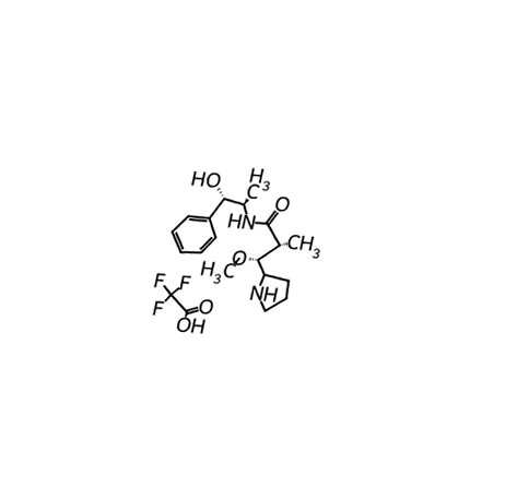 CO[C@@H](C1CCCN1)[C@@H](C)C(=O)N[C@H](C)[C@@H](O)c1ccccc1.O=C(O)C(F)(F)F